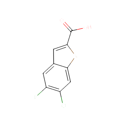 O=C(O)c1cc2cc(F)c(Cl)cc2s1